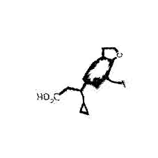 O=C(O)CC(c1cc(I)c2c(c1)CCO2)C1CC1